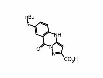 CCCCSc1ccc2[nH]c3cc(C(=O)O)nn3c(=O)c2c1